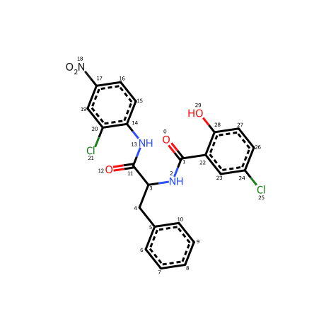 O=C(NC(Cc1ccccc1)C(=O)Nc1ccc([N+](=O)[O-])cc1Cl)c1cc(Cl)ccc1O